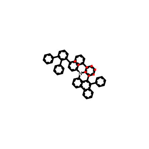 c1ccc(-c2ccccc2N(c2ccc(-c3cccc(-c4ccccc4)c3-c3ccccc3)cc2)c2cccc3c2c(-c2ccccc2)c(-c2ccccc2)c2ccccc23)cc1